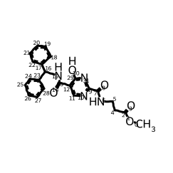 COC(=O)CCNC(=O)c1ncc(C(=O)NC(c2ccccc2)c2ccccc2)c(O)n1